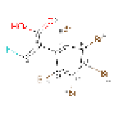 O=C(O)C(=CF)c1c(Br)c(Br)c(Br)c(Br)c1Br